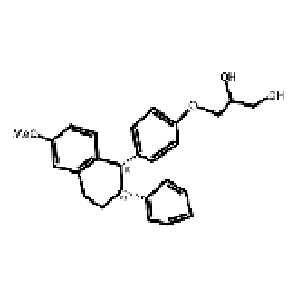 COc1ccc2c(c1)CC[C@@H](c1ccccc1)[C@H]2c1ccc(OCC(O)CO)cc1